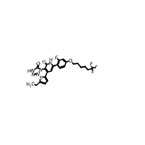 CCc1ccc(-c2cc(-c3ccc(OCCCCCC(F)(F)F)cc3F)[nH]c(=O)c2-n2nn[nH]c2=O)s1